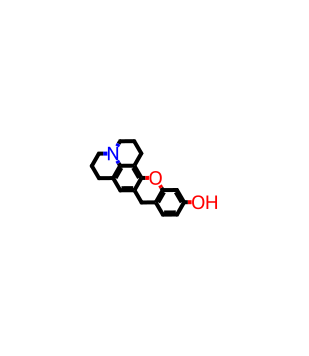 Oc1ccc2c(c1)Oc1c(cc3c4c1CCCN4CCC3)C2